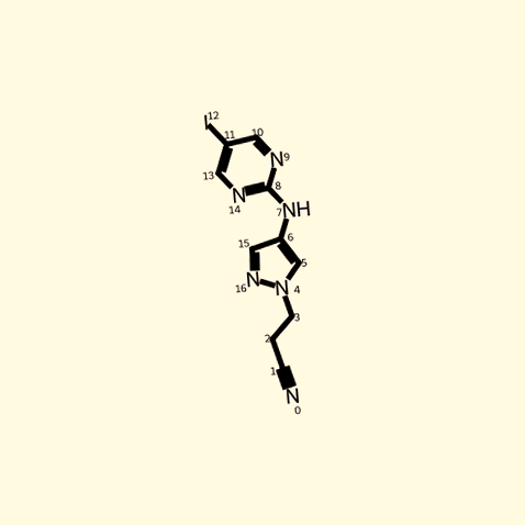 N#CCCn1cc(Nc2ncc(I)cn2)cn1